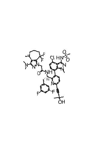 C[C@H]1CCCC(F)(F)c2c1c(N(C)C)nn2CC(=O)N[C@@H](Cc1cc(F)cc(F)c1)c1nc(C#CC(C)(C)O)ccc1-c1ccc(Cl)c2c(NS(C)(=O)=O)nn(C)c12